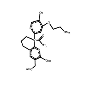 COCCOc1cc([N+]2(C(N)=O)CCCc3cc(COC)c(C=O)nc32)ncc1C#N